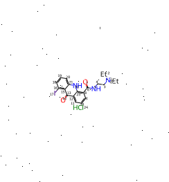 CCN(CC)CCNC(=O)c1cccc2c(=O)c3c(I)cccc3[nH]c12.Cl